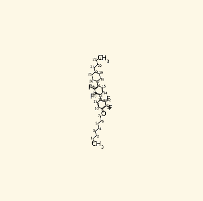 CCCCCCCCOc1ccc(-c2ccc(C3CCC(CCCC)CC3)c(F)c2F)c(F)c1F